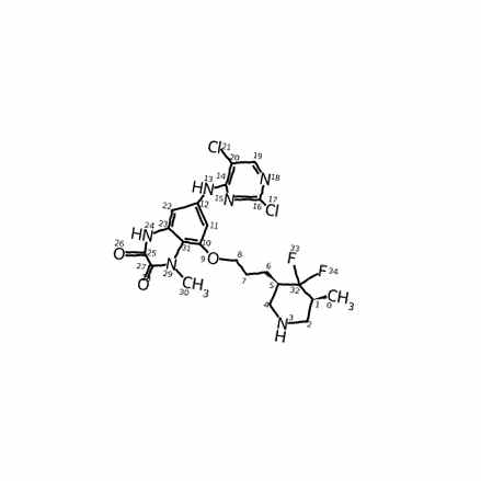 C[C@H]1CNC[C@@H](CCCOc2cc(Nc3nc(Cl)ncc3Cl)cc3[nH]c(=O)c(=O)n(C)c23)C1(F)F